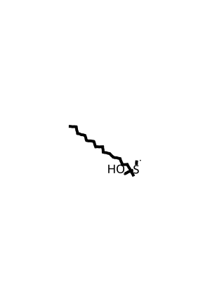 [CH2]SC(C)(CO)CCCCCCCCCCCCCC